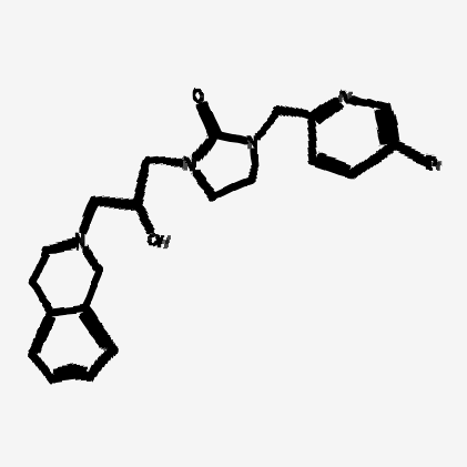 CC(C)c1ccc(CN2CCN(CC(O)CN3CCc4ccccc4C3)C2=O)nc1